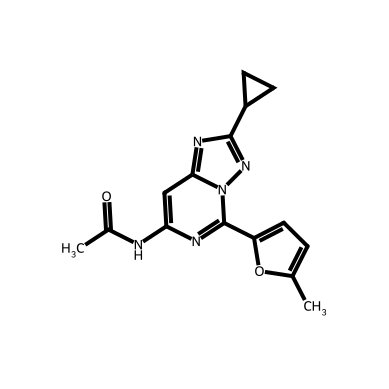 CC(=O)Nc1cc2nc(C3CC3)nn2c(-c2ccc(C)o2)n1